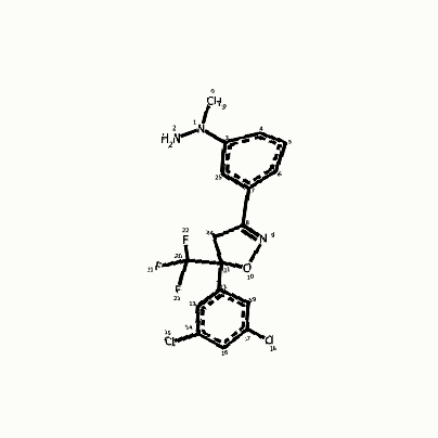 CN(N)c1cccc(C2=NOC(c3cc(Cl)cc(Cl)c3)(C(F)(F)F)C2)c1